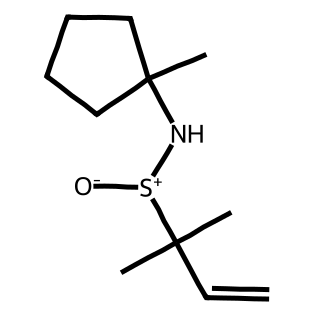 C=CC(C)(C)[S+]([O-])NC1(C)CCCC1